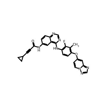 Cc1c(Oc2ccn3ncnc3c2)ccc(Nc2ncnc3ccc(NC(=O)C#CC4CC4)cc23)c1F